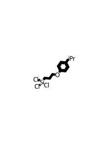 CC(C)c1ccc(OCCC[Si](Cl)(Cl)Cl)cc1